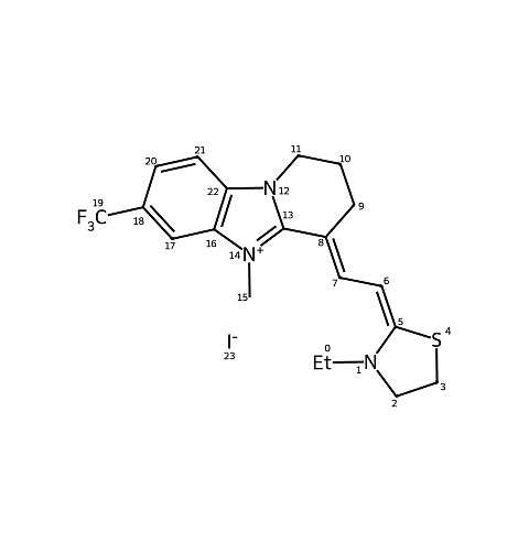 CCN1CCSC1=CC=C1CCCn2c1[n+](C)c1cc(C(F)(F)F)ccc12.[I-]